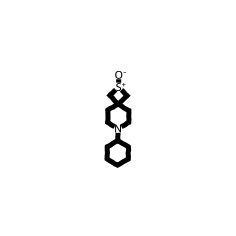 [O-][S+]1CC2(CCN(C3CCCCC3)CC2)C1